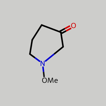 CON1CCCC(=O)C1